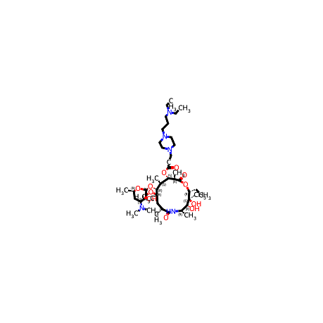 CC[C@H]1OC(=O)[C@H](C)[C@@H](OC(=O)CCN2CCN(CCCN(CC)CC)CC2)[C@H](C)[C@@H](O[C@@H]2O[C@H](C)C[C@H](N(C)C)[C@H]2O)[C@](C)(OC)C[C@@H](C)C(=O)N[C@H](C)[C@@H](O)[C@]1(C)O